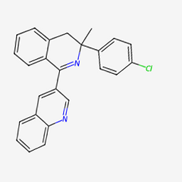 CC1(c2ccc(Cl)cc2)Cc2ccccc2C(c2cnc3ccccc3c2)=N1